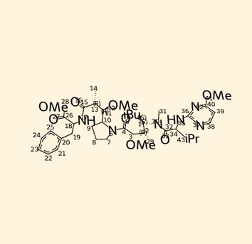 CC[C@H](C)[C@@H]([C@@H](CC(=O)N1CCCC1[C@H](OC)[C@@H](C)C(=O)NC(Cc1ccccc1)C(=O)OC)OC)N(C)C(=O)C(Nc1nccc(OC)n1)C(C)C